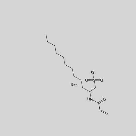 C=CC(=O)NC(CCCCCCCCCC)CS(=O)(=O)[O-].[Na+]